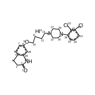 I.O=C1CCc2ccc(OCCCCN3CCN(c4cccc(Cl)c4Cl)CC3)cc2N1